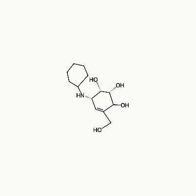 OCC1=C[C@H](NC2CCCCC2)[C@H](O)[C@H](O)C1O